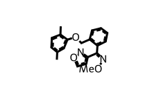 CON=C(c1ccon1)c1ccccc1COc1cc(C)ccc1C